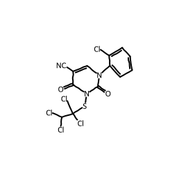 N#Cc1cn(-c2ccccc2Cl)c(=O)n(SC(Cl)(Cl)C(Cl)Cl)c1=O